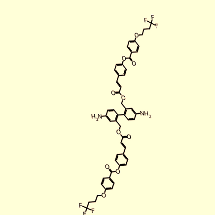 Nc1ccc(-c2ccc(N)cc2COC(=O)C=Cc2ccc(OC(=O)c3ccc(OCCCC(F)(F)F)cc3)cc2)c(COC(=O)C=Cc2ccc(OC(=O)c3ccc(OCCCC(F)(F)F)cc3)cc2)c1